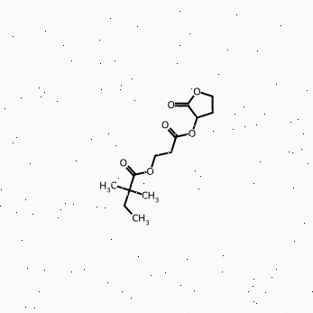 CCC(C)(C)C(=O)OCCC(=O)OC1CCOC1=O